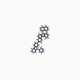 c1ccc(-n2c3ccccc3c3ccc(-c4ccc5c(ccc6c5c5ccccc5n6-c5cccc6ccccc56)c4)cc32)cc1